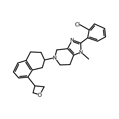 Cn1c(-c2ccccc2Cl)nc2c1CCN(C1CCc3cccc(C4COC4)c3C1)C2